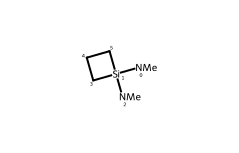 CN[Si]1(NC)CCC1